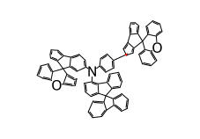 c1ccc2c(c1)Oc1ccccc1C21c2ccccc2-c2cc(-c3ccc(N(c4ccc5c(c4)C4(c6ccccc6Oc6ccccc64)c4ccccc4-5)c4cccc5c4-c4ccccc4C54c5ccccc5-c5ccccc54)cc3)ccc21